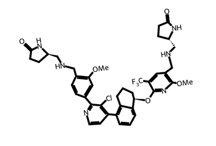 COc1cc(-c2nccc(-c3cccc4c3CCC[C@H]4Oc3nc(OC)c(CNC[C@@H]4CCC(=O)N4)cc3C(F)(F)F)c2Cl)ccc1CNC[C@H]1CCC(=O)N1